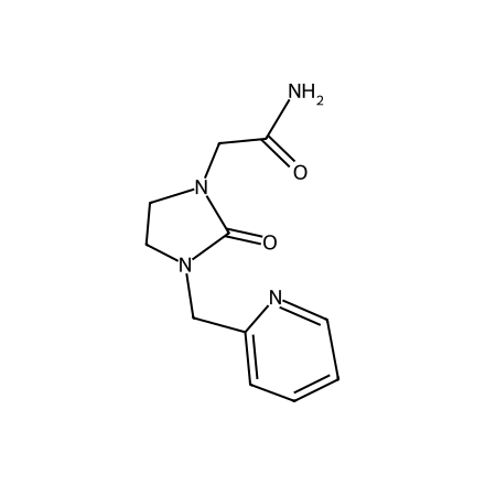 NC(=O)CN1CCN(Cc2ccccn2)C1=O